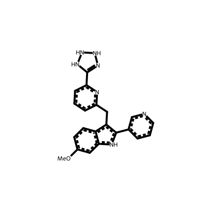 COc1ccc2c(Cc3cccc(C4=NNNN4)n3)c(-c3cccnc3)[nH]c2c1